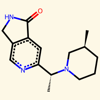 C[C@H]1CCCN([C@H](C)c2cc3c(cn2)CNC3=O)C1